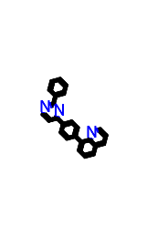 c1ccc(-c2nccc(-c3ccc(-c4cccc5cccnc45)cc3)n2)cc1